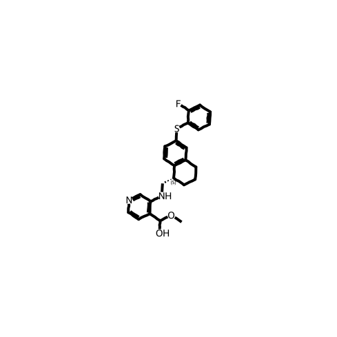 COC(O)c1ccncc1NC[C@H]1CCCc2cc(Sc3ccccc3F)ccc21